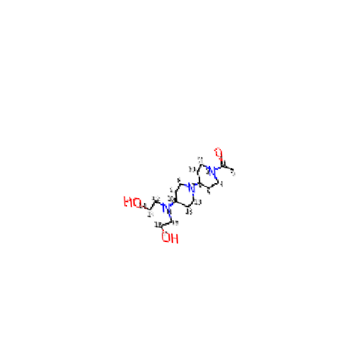 CC(=O)N1CCC(N2CCC(N(CCO)CCO)CC2)CC1